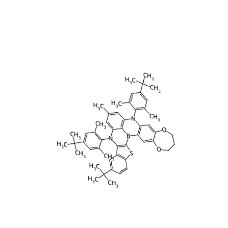 Cc1cc2c3c(c1)N(c1c(C)cc(C(C)(C)C)cc1C)c1c(sc4ccc(C(C)(C)C)cc14)B3c1cc3c(cc1N2c1c(C)cc(C(C)(C)C)cc1C)OCCCO3